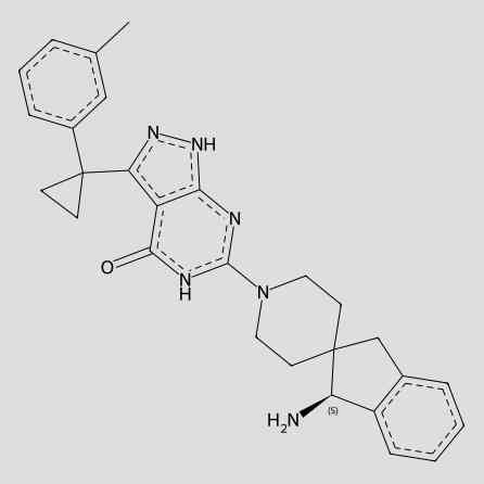 Cc1cccc(C2(c3n[nH]c4nc(N5CCC6(CC5)Cc5ccccc5[C@H]6N)[nH]c(=O)c34)CC2)c1